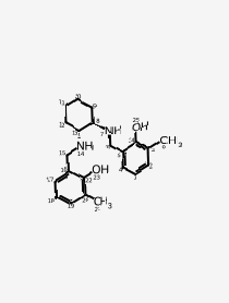 Cc1cccc(CN[C@@H]2CCCC[C@H]2NCc2cccc(C)c2O)c1O